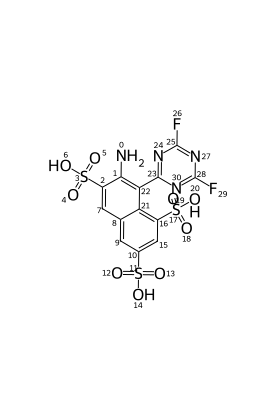 Nc1c(S(=O)(=O)O)cc2cc(S(=O)(=O)O)cc(S(=O)(=O)O)c2c1-c1nc(F)nc(F)n1